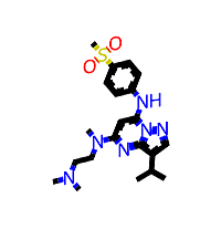 CC(C)c1cnn2c(Nc3ccc(S(C)(=O)=O)cc3)cc(N(C)CCN(C)C)nc12